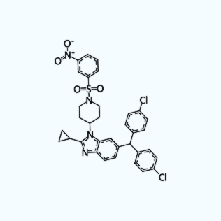 O=[N+]([O-])c1cccc(S(=O)(=O)N2CCC(n3c(C4CC4)nc4ccc(C(c5ccc(Cl)cc5)c5ccc(Cl)cc5)cc43)CC2)c1